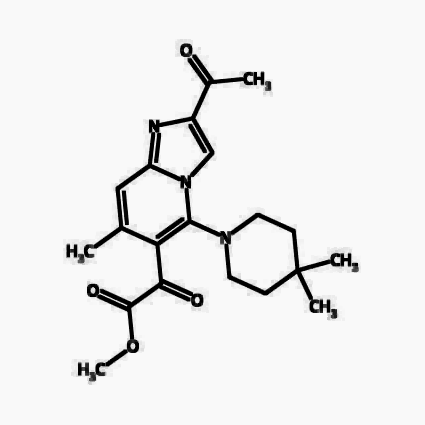 COC(=O)C(=O)c1c(C)cc2nc(C(C)=O)cn2c1N1CCC(C)(C)CC1